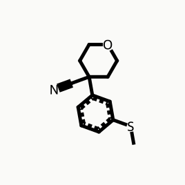 CSc1cccc(C2(C#N)CCOCC2)c1